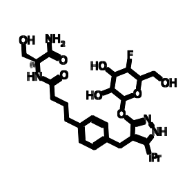 CC(C)c1[nH]nc(OC2OC(CO)C(F)C(O)C2O)c1Cc1ccc(CCCC(=O)N[C@@H](CO)C(N)=O)cc1